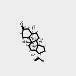 C=C(C)[C@H]1CC[C@H]2[C@@H]3CC[C@@H]4CC(=O)CC[C@]4(C)[C@H]3CC[C@]12C